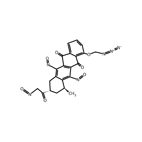 C[C@H]1C[C@H](C(=O)CN=O)Cc2c(N=O)c3c(c(N=O)c21)C(=O)c1c(OCN=[N+]=[N-])cccc1C3=O